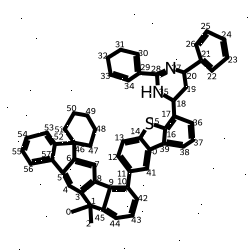 CC1(C)c2cc3c(cc2-c2c(-c4ccc5sc6c(C7CC(c8ccccc8)N=C(C8=CCCC=C8)N7)cccc6c5c4)cccc21)C1(CCCCC1)c1ccccc1-3